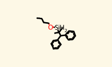 CCCCO[SiH2]C(C)(C)C(c1ccccc1)c1ccccc1